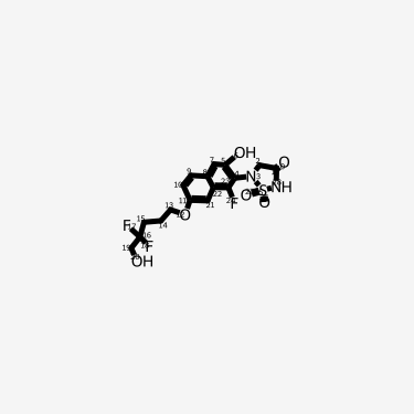 O=C1CN(c2c(O)cc3ccc(OCCCC(F)(F)CO)cc3c2F)S(=O)(=O)N1